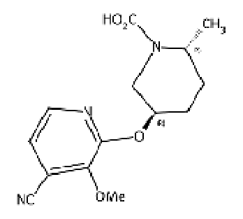 COc1c(C#N)ccnc1O[C@@H]1CC[C@@H](C)N(C(=O)O)C1